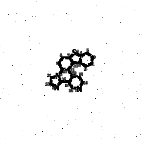 c1ccc2c(c1)sc1ccc3c(c4ccncc4c4nccn34)c12